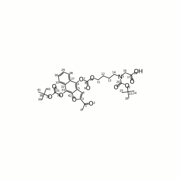 CC(=O)c1cc2c(OC(=O)OCCCCN(CC(=O)O)C(=O)OC(C)(C)C)c3ccccc3c(OC(=O)OC(C)(C)C)c2o1